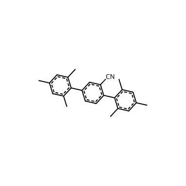 Cc1cc(C)c(-c2ccc(-c3c(C)cc(C)cc3C)c(C#N)c2)c(C)c1